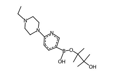 CCN1CCN(c2ccc(B(O)OC(C)(C)C(C)(C)O)cn2)CC1